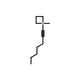 CCCCCC#C[Si]1(C)CCC1